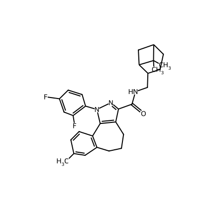 Cc1ccc2c(c1)CCCc1c(C(=O)NCC3CCC4CC3C4(C)C)nn(-c3ccc(F)cc3F)c1-2